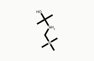 CC(C)(O)[SiH2]C[Si](C)(C)C